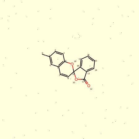 Cc1ccc2c(c1)C=CC1(OC(=O)c3ccccc31)O2